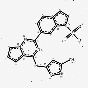 CCS(=O)(=O)n1ccc2ccc(-c3nc(Nc4cc(C)[nH]n4)c4cccn4n3)cc21